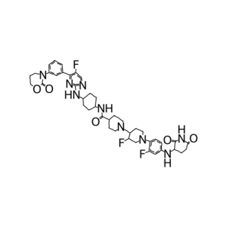 O=C1CCC(Nc2ccc(N3CCC(N4CCC(C(=O)NC5CCC(Nc6ncc(F)c(-c7cccc(N8CCCOC8=O)c7)n6)CC5)CC4)C(F)C3)c(F)c2)C(=O)N1